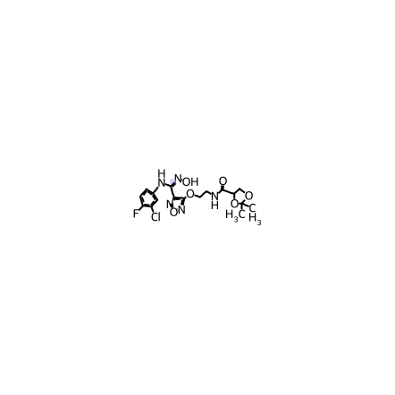 CC1(C)OCC(C(=O)NCCOc2nonc2/C(=N\O)Nc2ccc(F)c(Cl)c2)O1